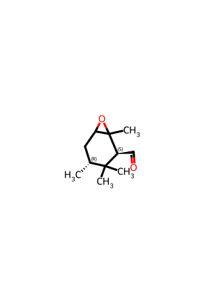 C[C@@H]1CC2OC2(C)[C@@H](C=O)C1(C)C